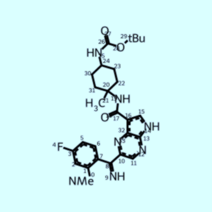 CNc1cc(F)ccc1C(=N)c1cnc2[nH]cc(C(=O)NC3(C)CCC(NC(=O)OC(C)(C)C)CC3)c2n1